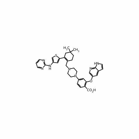 CC1(C)CCC(CN2CCN(c3ccc(C(=O)O)c(Oc4cnc5[nH]ccc5c4)c3)CC2)=C(c2cc(Nc3ncccn3)cs2)C1